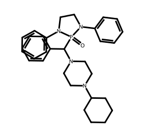 O=P1(C(c2ccccc2)N2CCN(C3CCCCC3)CC2)N(c2ccccc2)CCN1c1ccccc1